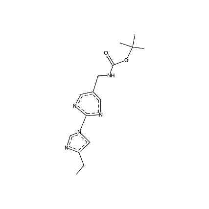 CCc1cn(-c2ncc(CNC(=O)OC(C)(C)C)cn2)cn1